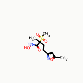 [CH2]c1cc(CCC(C)(C(=O)NO)S(C)(=O)=O)no1